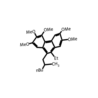 CCCCC(C)Cc1c(CC)c2cc(OC)c(OC)cc2c2c(OC)c(OC)c(OC)cc12